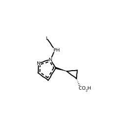 O=C(O)[C@H]1C[C@@H]1c1ccnn1PI